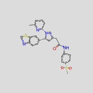 Cc1cccc(-n2nc(CC(=O)Nc3ccc(S(C)(=O)=O)cc3)cc2-c2ccc3ncsc3c2)n1